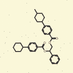 CC1CCC(c2ccc(C(=O)OCC(OC(=O)c3ccc(C4CCCCC4)cc3)c3ccccc3)cc2)CC1